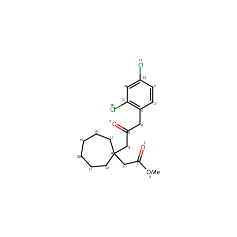 COC(=O)CC1(CC(=O)Cc2ccc(Cl)cc2Cl)CCCCCC1